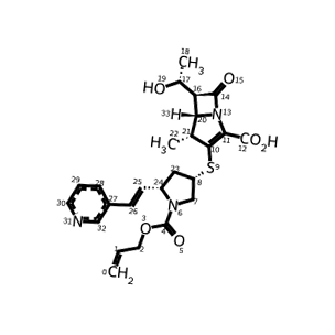 C=CCOC(=O)N1C[C@@H](SC2=C(C(=O)O)N3C(=O)[C@H]([C@@H](C)O)[C@H]3[C@H]2C)C[C@H]1/C=C/c1cccnc1